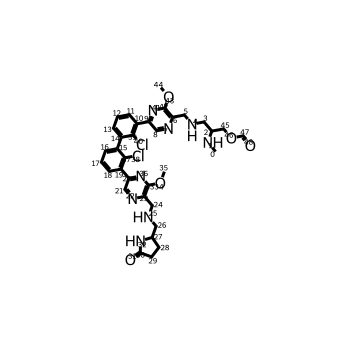 CNC(CNCc1ncc(-c2cccc(-c3cccc(-c4cnc(CNCC5CCC(=O)N5)c(OC)n4)c3Cl)c2Cl)nc1OC)COC=O